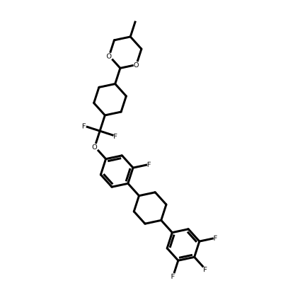 CC1COC(C2CCC(C(F)(F)Oc3ccc(C4CCC(c5cc(F)c(F)c(F)c5)CC4)c(F)c3)CC2)OC1